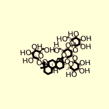 C=C1C[C@]23CC[C@H]4C(C)(C(=O)O[C@@H]5O[C@H](CO)[C@@H](O)[C@H](O)[C@H]5O)CCC[C@]4(C)[C@H]2CC[C@]1(O[C@@H]1O[C@H](CO)[C@@H](O)[C@H](O[C@@H]2O[C@H](CO)[C@@H](O)[C@H](O)[C@H]2O)[C@H]1O[C@@H]1O[C@@H](C)[C@H](O)[C@@H](O)[C@H]1O)C3